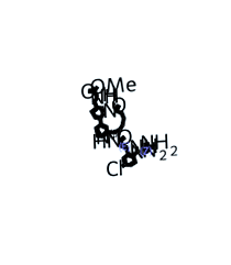 COC(=O)NCc1ccc2c(c1)NC(=O)CCCC[C@H](NC(=O)/C=C/c1cc(Cl)ccc1N(N)/C=N\N)c1cc-2ccn1